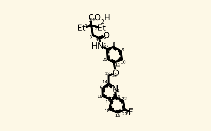 CCC(CC)(CC(=O)Nc1cccc(OCc2ccc3ccc(F)cc3n2)c1)C(=O)O